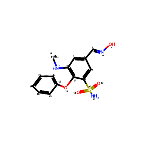 CCCCNc1cc(C=NO)cc(S(N)(=O)=O)c1Oc1ccccc1